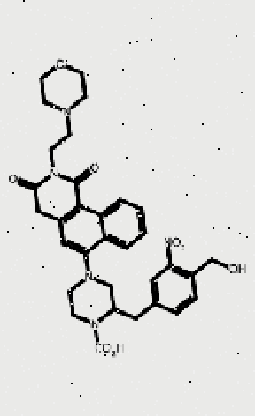 O=C1Cc2cc(N3CCN(C(=O)O)C(Cc4ccc(CO)c([N+](=O)[O-])c4)C3)c3ccccc3c2C(=O)N1CCN1CCOCC1